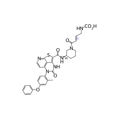 Cc1cc(Oc2ccccc2)ccc1N1C(=O)Nc2c(C(=O)N[C@@H]3CCCN(C(=O)/C=C/CNC(=O)O)C3)sc3nccc1c23